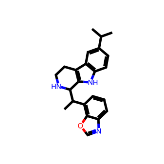 CC(C)c1ccc2[nH]c3c(c2c1)CCNC3C(C)c1cccc2ncoc12